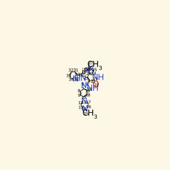 CC(C)[C@H](Nc1c(-c2nc3ccc(N4CCN(C)CC4)cc3[nH]2)c(=O)[nH]c2cn(C)nc12)c1ccccn1